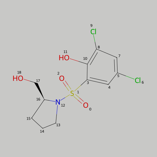 O=S(=O)(c1cc(Cl)cc(Cl)c1O)N1CCC[C@H]1CO